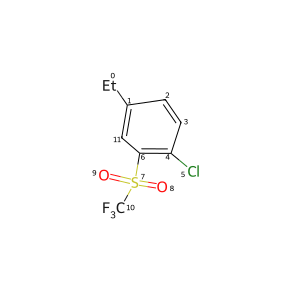 CCc1ccc(Cl)c(S(=O)(=O)C(F)(F)F)c1